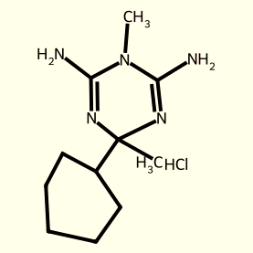 CN1C(N)=NC(C)(C2CCCCC2)N=C1N.Cl